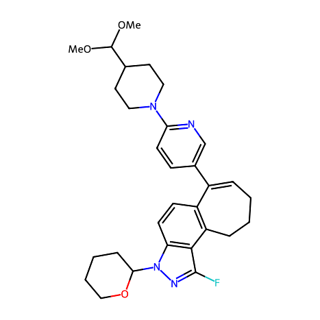 COC(OC)C1CCN(c2ccc(C3=CCCCc4c3ccc3c4c(F)nn3C3CCCCO3)cn2)CC1